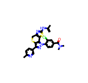 C=C(C)Nc1nc2c(s1)-c1c(c(-c3ccc(C)nc3)nn1-c1ccc(C(=O)N(C)C)cc1Cl)SC2